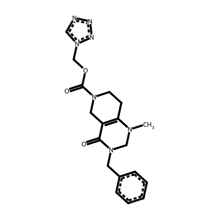 CN1CN(Cc2ccccc2)C(=O)C2=C1CCN(C(=O)OCn1cnnn1)C2